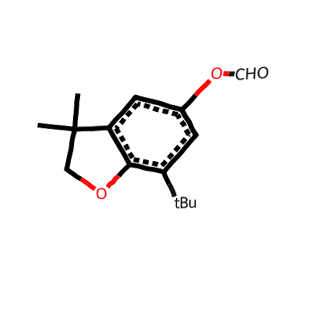 CC(C)(C)c1cc(OC=O)cc2c1OCC2(C)C